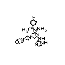 C[C@@H](c1ccc(F)cc1)N(N)C1=CC(N2CC(N3CCOCC3)C2)CC(N[C@H]2C=NC=CN2)=N1